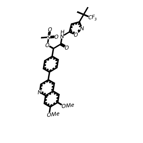 COc1cc2cc(-c3ccc(C(OS(C)(=O)=O)C(=O)Nc4cc(C(C)(C)C(F)(F)F)no4)cc3)cnc2cc1OC